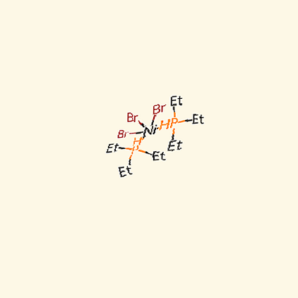 CC[PH](CC)(CC)[Ni]([Br])([Br])([Br])[PH](CC)(CC)CC